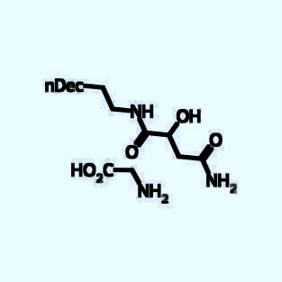 CCCCCCCCCCCCNC(=O)C(O)CC(N)=O.NCC(=O)O